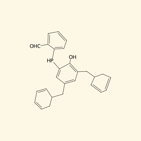 O=Cc1ccccc1Pc1cc(CC2C=CC=CC2)cc(CC2C=CC=CC2)c1O